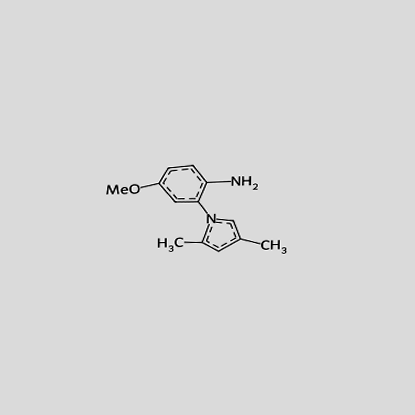 COc1ccc(N)c(-n2cc(C)cc2C)c1